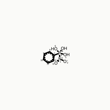 O=[N+]([O-])P(O)(O)(O)c1ccccc1